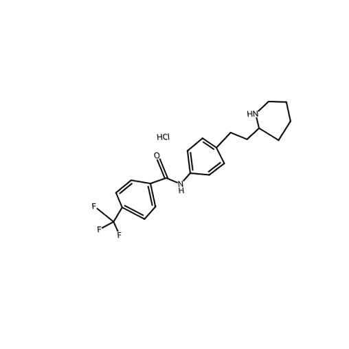 Cl.O=C(Nc1ccc(CCC2CCCCN2)cc1)c1ccc(C(F)(F)F)cc1